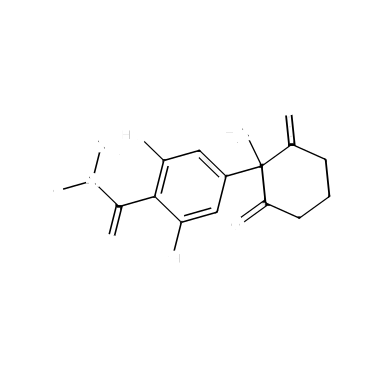 CN(N)C(=O)c1c(O)cc(C2(N)C(=O)CCCC2=O)cc1O